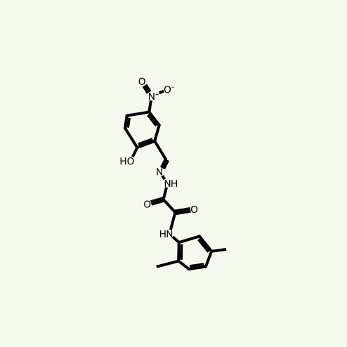 Cc1ccc(C)c(NC(=O)C(=O)N/N=C/c2cc([N+](=O)[O-])ccc2O)c1